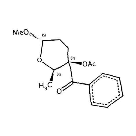 CO[C@@H]1CC[C@](OC(C)=O)(C(=O)c2ccccc2)[C@@H](C)O1